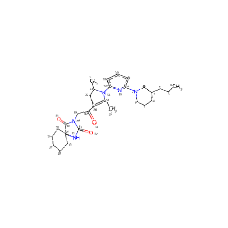 CCCC1CCCN(c2cccc(N3C(C)=C(C(=O)CN4C(=O)NC5(CCCCC5)C4=O)CC3C)n2)C1